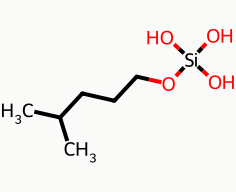 CC(C)CCCO[Si](O)(O)O